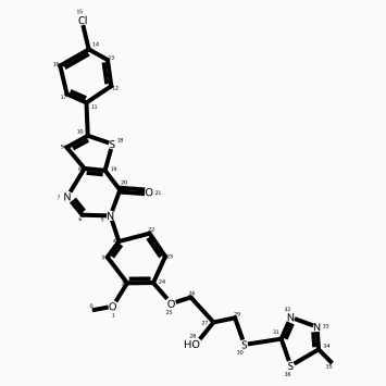 COc1cc(-n2cnc3cc(-c4ccc(Cl)cc4)sc3c2=O)ccc1OCC(O)CSc1nnc(C)s1